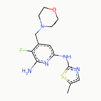 Cc1cnc(Nc2cc(CN3CCOCC3)c(F)c(N)n2)s1